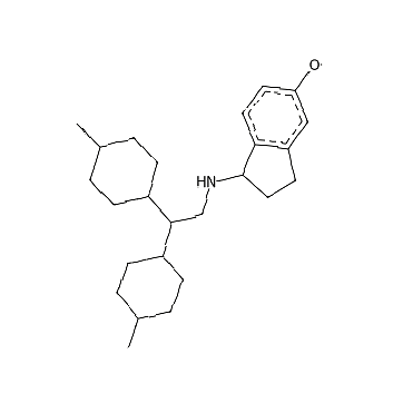 CC1CCC(C(CNC2CCc3cc([O])ccc32)C2CCC(C)CC2)CC1